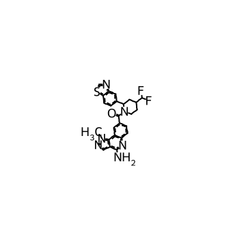 Cn1ncc2c(N)nc3ccc(C(=O)N4CCC(C(F)F)CC4c4ccc5scnc5c4)cc3c21